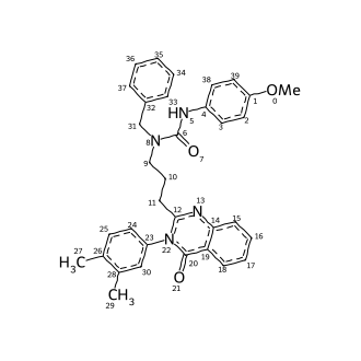 COc1ccc(NC(=O)N(CCCc2nc3ccccc3c(=O)n2-c2ccc(C)c(C)c2)Cc2ccccc2)cc1